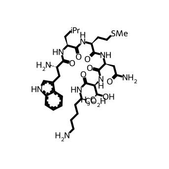 CSCC[C@H](NC(=O)[C@H](CC(C)C)NC(=O)[C@@H](N)Cc1c[nH]c2ccccc12)C(=O)N[C@@H](CC(N)=O)C(=O)N[C@H](C(=O)N[C@@H](CCCCN)C(=O)O)[C@@H](C)O